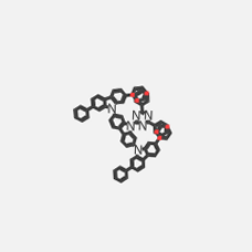 c1ccc(-c2ccc3c4ccc(-c5ccccc5)cc4n(-c4ccc5c6ccc(-n7c8cc(-c9ccccc9)ccc8c8ccc(-c9ccccc9)cc87)cc6n(-c6nc(-c7ccccc7)nc(-c7ccccc7)n6)c5c4)c3c2)cc1